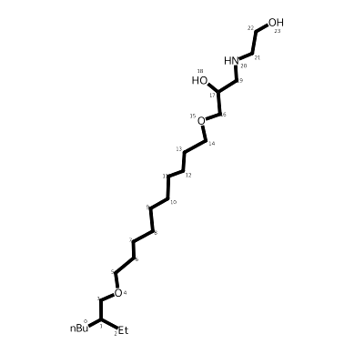 CCCCC(CC)COCCCCCCCCCCOCC(O)CNCCO